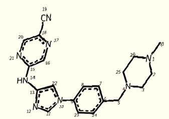 CN1CCN(Cc2ccc(-n3cnc(Nc4cnc(C#N)cn4)c3)cc2)CC1